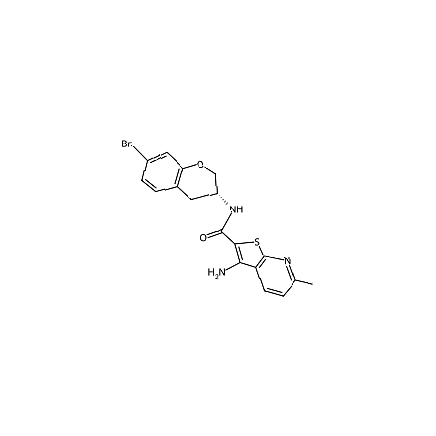 Cc1ccc2c(N)c(C(=O)N[C@H]3COc4cc(Br)ccc4C3)sc2n1